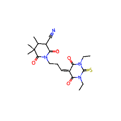 CCN1C(=O)C(=CCCN2C(=O)C(C#N)C(C)C(C)(C)C2=O)C(=O)N(CC)C1=S